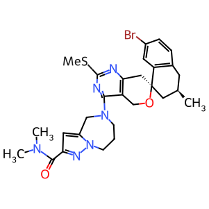 CSc1nc2c(c(N3CCCn4nc(C(=O)N(C)C)cc4C3)n1)CO[C@]1(C2)C[C@H](C)Cc2ccc(Br)cc21